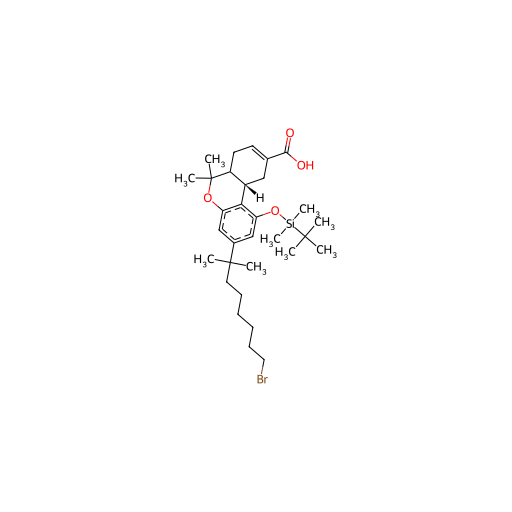 CC(C)(CCCCCCBr)c1cc2c(c(O[Si](C)(C)C(C)(C)C)c1)[C@H]1CC(C(=O)O)=CCC1C(C)(C)O2